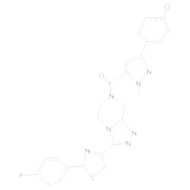 Cn1nc(-c2ccc(Cl)cc2)cc1C(=O)N1CCn2c(nnc2-c2csc(-c3ccc(F)cc3)n2)C1